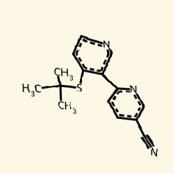 CC(C)(C)Sc1ccncc1-c1ccc(C#N)cn1